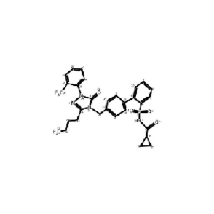 O=C(NS(=O)(=O)c1ccccc1-c1ccc(Cn2c(CCCC(F)(F)F)nn(-c3ccccc3C(F)(F)F)c2=O)cc1)C1CC1